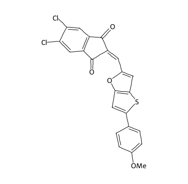 COc1ccc(-c2cc3oc(C=C4C(=O)c5cc(Cl)c(Cl)cc5C4=O)cc3s2)cc1